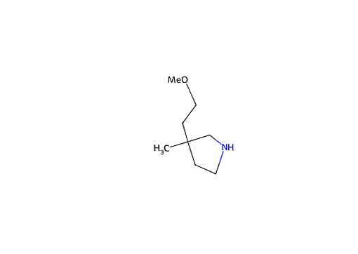 COCCC1(C)CCNC1